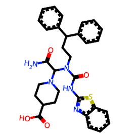 NC(=O)C(N1CCC(C(=O)O)CC1)N(CCC(c1ccccc1)c1ccccc1)C(=O)Nc1nc2ccccc2s1